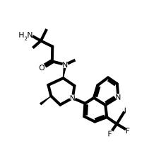 C[C@H]1C[C@@H](N(C)C(=O)CC(C)(C)N)CN(c2ccc(C(F)(F)I)c3ncccc23)C1